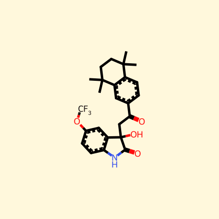 CC1(C)CCC(C)(C)c2cc(C(=O)CC3(O)C(=O)Nc4ccc(OC(F)(F)F)cc43)ccc21